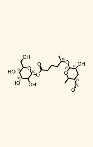 CC1O[C@@H](O[C@H](C)CCCC(=O)O[C@@H]2OC(CO)[C@@H](O)[C@@H](O)C2O)[C@@H](O)C[C@H]1N=O